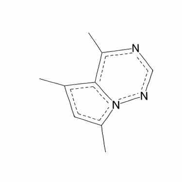 Cc1cc(C)n2ncnc(C)c12